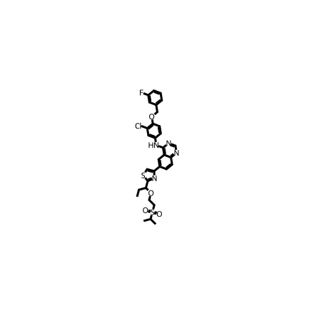 CCC(OCCS(=O)(=O)C(C)C)c1nc(-c2ccc3ncnc(Nc4ccc(OCc5cccc(F)c5)c(Cl)c4)c3c2)cs1